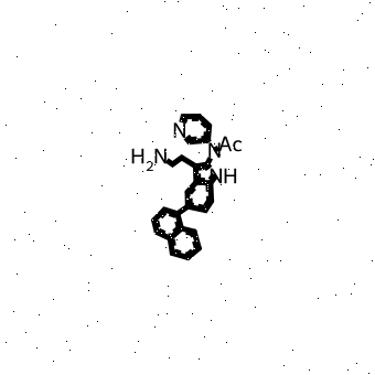 CC(=O)N(c1cccnc1)c1[nH]c2ccc(-c3cccc4ccccc34)cc2c1CCN